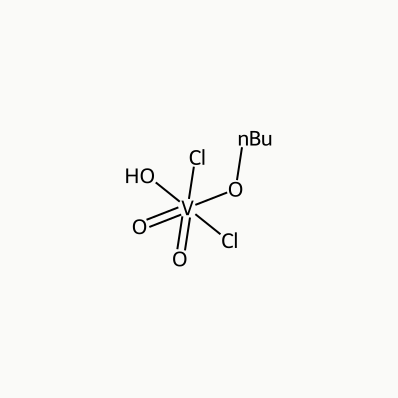 CCCC[O][V](=[O])(=[O])([OH])([Cl])[Cl]